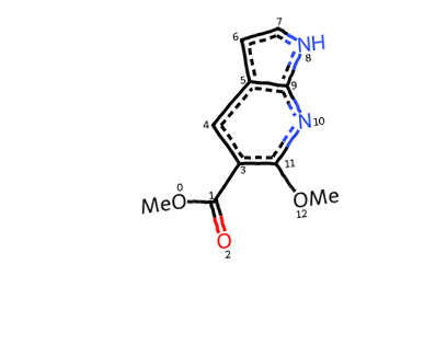 COC(=O)c1cc2cc[nH]c2nc1OC